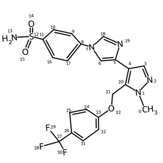 Cn1ncc(-c2cn(-c3ccc(S(N)(=O)=O)cc3)cn2)c1COc1ccc(C(F)(F)F)cc1